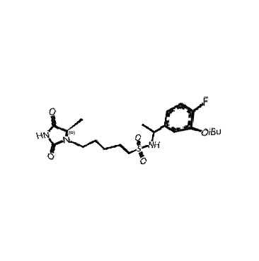 CC(C)COc1cc(C(C)NS(=O)(=O)CCCCCN2C(=O)NC(=O)[C@H]2C)ccc1F